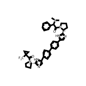 CN(C)C(C(=O)N1CCC[C@H]1c1ncc(-c2ccc(-c3ccc(-c4cnc([C@@H]5CCCN5C(=O)C5(C(F)(F)F)CC5)[nH]4)cc3)cc2)[nH]1)c1ccccc1